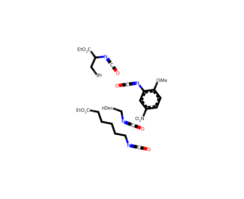 CCCCCCCCCCCN=C=O.CCOC(=O)C(CC(C)C)N=C=O.CCOC(=O)CCCCCN=C=O.COc1ccc([N+](=O)[O-])cc1N=C=O